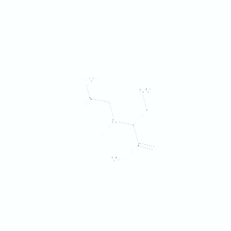 CNCC(C(=O)OC)N(C)CC(=O)OC